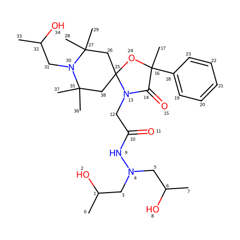 CC(O)CN(CC(C)O)NC(=O)CN1C(=O)C(C)(c2ccccc2)OC12CC(C)(C)N(CC(C)O)C(C)(C)C2